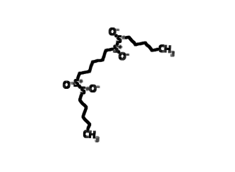 CCCCC[S+]([O-])[S+]([O-])CCCCC[S+]([O-])[S+]([O-])CCCCC